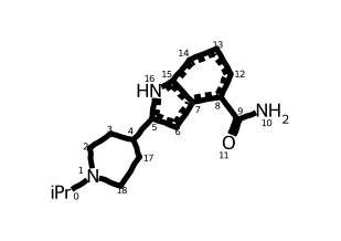 CC(C)N1CCC(c2cc3c(C(N)=O)cccc3[nH]2)CC1